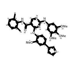 COc1cc(-c2ccsc2)ccc1Oc1nc(Nc2cc(OC)c(OC)c(OC)c2)ncc1C(=O)Nc1c(C)cccc1C